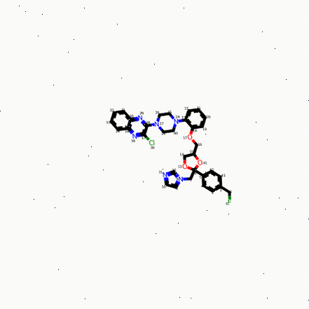 FCc1ccc(C2(Cn3ccnc3)OCC(COc3ccccc3N3CCN(c4nc5ccccc5nc4Cl)CC3)O2)cc1